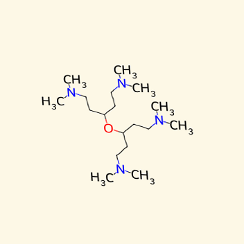 CN(C)CCC(CCN(C)C)OC(CCN(C)C)CCN(C)C